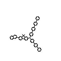 CC1(C)c2cc(-c3ccc4ccccc4c3)ccc2-c2ccc(N(c3ccc(-c4ccc(-c5ccccc5)cc4)cc3)c3ccc(-c4ccc(-c5ccc(-c6ccccc6)cc5)cc4)cc3)cc21